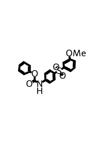 COc1cccc(S(=O)(=O)c2ccc(NC(=O)Oc3ccccc3)cc2)c1